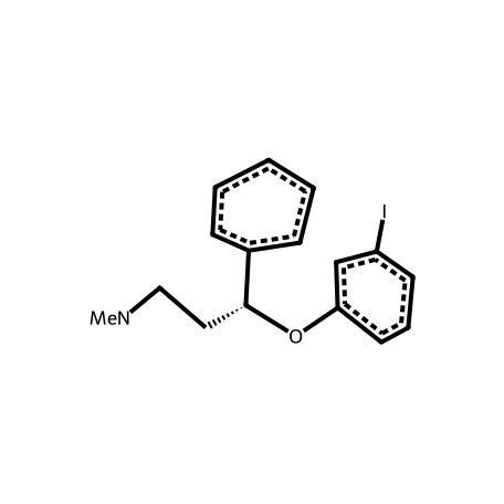 CNCC[C@@H](Oc1cccc(I)c1)c1ccccc1